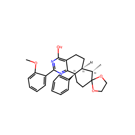 COc1ccccc1-c1nc(O)c2c(n1)[C@@]1(c3ccccc3)CCC3(OCCO3)[C@@H](C)[C@@H]1CC2